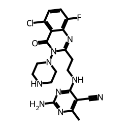 Cc1nc(N)nc(NCCc2nc3c(F)ccc(Cl)c3c(=O)n2N2CCNCC2)c1C#N